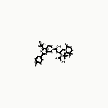 CC(C)(C)N(C(=O)O)[C@@H](CC(O)N1CCc2c(nc(-c3ccc(F)cc3)nc2C(F)(F)F)C1)CN1CC(F)(F)CCC1=O